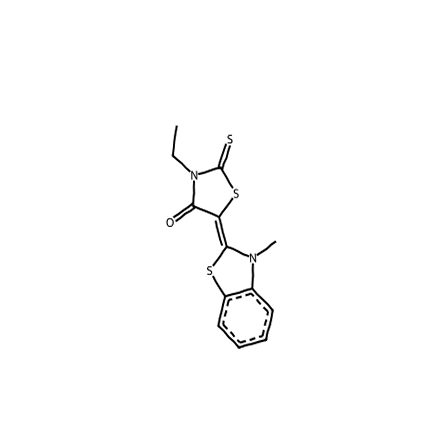 CCN1C(=O)C(=C2Sc3ccccc3N2C)SC1=S